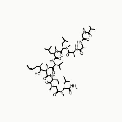 C/C=C\C[C@@H](C)[C@H](O)C(C(=O)N[C@@H](CC)C(=O)N(C)CC(=O)N(C)[C@H](CC(C)C)C(N)=O)N(C)C(=O)[C@H](C(C)C)N(C)C(=O)[C@@H](CC(C)C)N(C)C(=O)[C@@H](CC(C)C)N(C)C(=O)[C@H](C)NC(=O)[C@@H](C)NC(=O)CN(C)C(=O)C(C)C